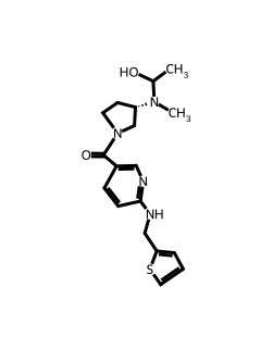 CC(O)N(C)[C@H]1CCN(C(=O)c2ccc(NCc3cccs3)nc2)C1